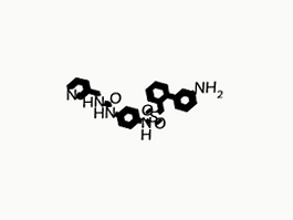 Nc1cccc(C2C=CC=CC2CS(=O)(=O)Nc2ccc(NC(=O)NCc3cccnc3)cc2)c1